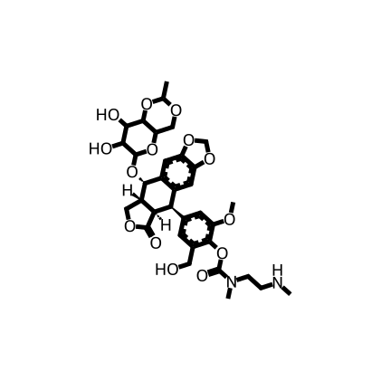 CNCCN(C)C(=O)Oc1c(CO)cc([C@@H]2c3cc4c(cc3[C@@H](OC3OC5COC(C)OC5C(O)C3O)[C@H]3COC(=O)[C@H]23)OCO4)cc1OC